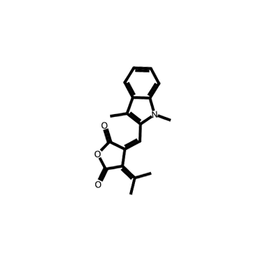 CC(C)=C1C(=O)OC(=O)C1=Cc1c(C)c2ccccc2n1C